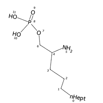 CCCCCCCCCCC(N)COP(=O)(O)O